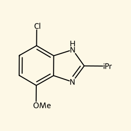 COc1ccc(Cl)c2[nH]c(C(C)C)nc12